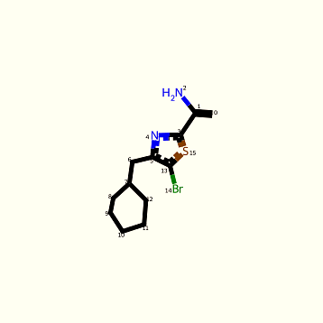 C=C(N)c1nc(CC2CCCCC2)c(Br)s1